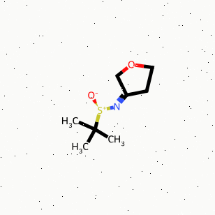 CC(C)(C)[S@@+]([O-])/N=C1/CCOC1